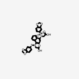 O=C(O)CN(Sc1ccc2c(c1)OCO2)c1ccc(N(CC(=O)O)S(=O)(=O)c2ccc3c(c2)OCO3)c2ccccc12